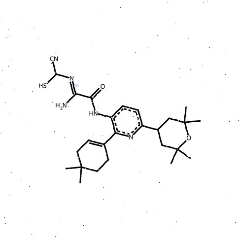 CC1(C)CC=C(c2nc(C3CC(C)(C)OC(C)(C)C3)ccc2NC(=O)/C(N)=N/C(S)C#N)CC1